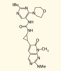 CNc1ncc2cc(C3CC3NC(=O)Nc3cnc(C(C)(C)C)nc3N3CCOCC3)c(=O)n(C)c2n1